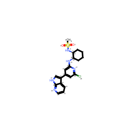 CS(=O)(=O)N[C@H]1CCCC[C@H]1Nc1cc(-c2c[nH]c3ncccc23)cc(Cl)n1